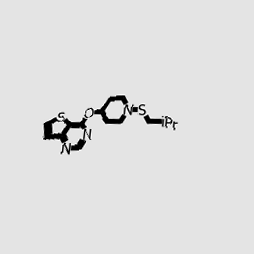 CC(C)CSN1CCC(Oc2ncnc3ccsc23)CC1